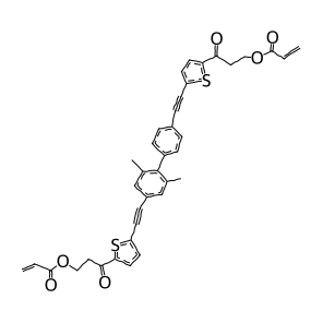 C=CC(=O)OCCC(=O)c1ccc(C#Cc2ccc(-c3c(C)cc(C#Cc4ccc(C(=O)CCOC(=O)C=C)s4)cc3C)cc2)s1